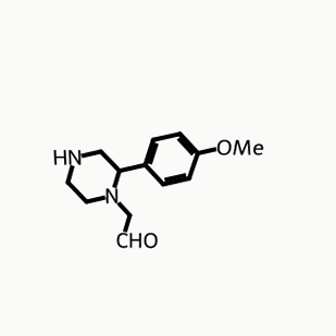 COc1ccc(C2CNCCN2CC=O)cc1